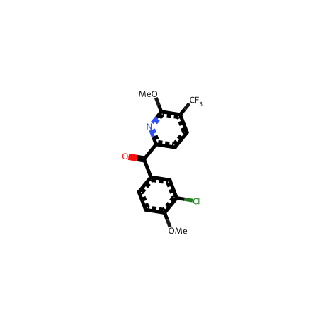 COc1ccc(C(=O)c2ccc(C(F)(F)F)c(OC)n2)cc1Cl